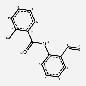 C=Cc1ccccc1OC(=O)c1ccccc1C